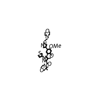 COc1cc2c(cc1-c1cnn(CCN3CCOCC3)c1)-c1c(c(C(=O)N3CCOCC3(C)C)nn1-c1ccsc1)CO2